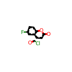 O=CCl.O=c1ccc2cc(F)ccc2o1